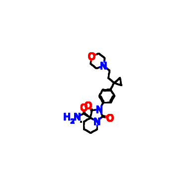 NC(=O)[C@]12[CH]CCCN1C(=O)N(c1ccc(C3(CCN4CCOCC4)CC3)cc1)C2=O